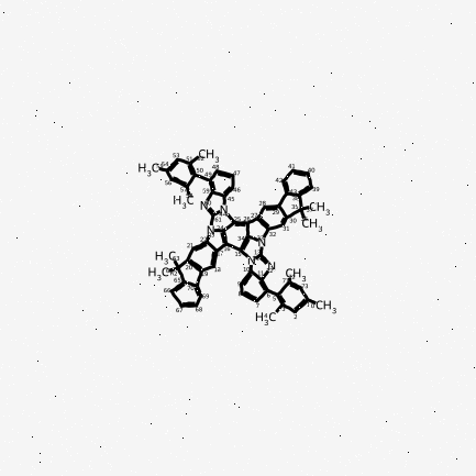 Cc1cc(C)c(-c2cccc3c2nc2n3c3c4c5cc6c(cc5n5c4c(c4c7cc8c(cc7n2c43)C(C)(C)c2ccccc2-8)n2c3cccc(-c4c(C)cc(C)cc4C)c3nc25)C(C)(C)c2ccccc2-6)c(C)c1